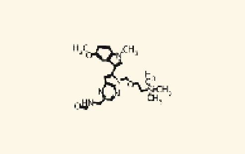 COc1ccc2c(c1)c(-c1cc3nc(CNC=O)cnc3n1COCC[Si](C)(C)C)cn2C